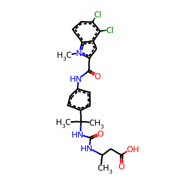 CC(CC(=O)O)NC(=O)NC(C)(C)c1ccc(NC(=O)c2cc3c(Cl)c(Cl)ccc3n2C)cc1